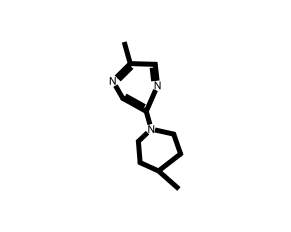 Cc1cnc(N2CCC(C)CC2)cn1